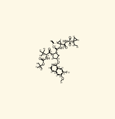 C=C[C@@H]1C[C@]1(NC(=O)C1C[C@@H](Oc2nccc3cc(OC)c(F)cc23)CN1C(=O)[C@@H](NC(=O)OC(C)(C)C)C(C)(C)C)C(=O)NS(=O)(=O)C1(CC)CC1